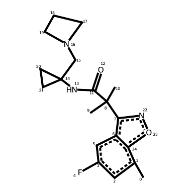 Cc1cc(F)cc2c(C(C)(C)C(=O)NC3(CN4CCC4)CC3)noc12